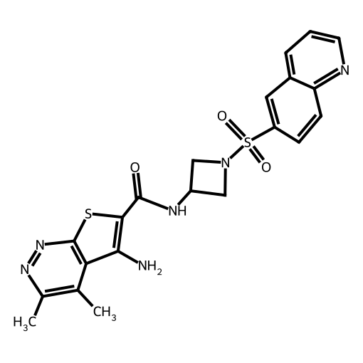 Cc1nnc2sc(C(=O)NC3CN(S(=O)(=O)c4ccc5ncccc5c4)C3)c(N)c2c1C